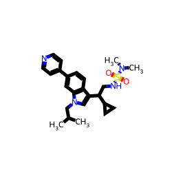 CC(C)Cn1cc(C(CNS(=O)(=O)N(C)C)C2CC2)c2ccc(-c3ccncc3)cc21